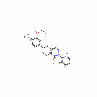 COc1cc(C2CCc3c(cnn(-c4ccccn4)c3=O)C2)ccc1C